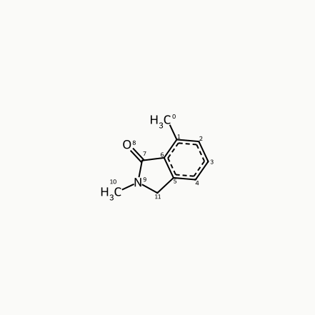 Cc1cccc2c1C(=O)N(C)C2